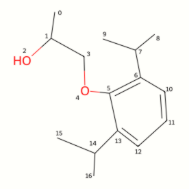 CC(O)COc1c(C(C)C)cccc1C(C)C